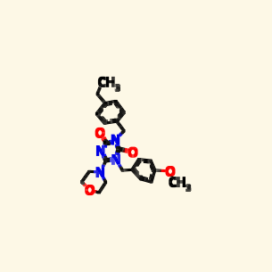 CCc1ccc(Cn2c(=O)nc(N3CCOCC3)n(Cc3ccc(OC)cc3)c2=O)cc1